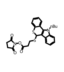 CCCCn1c2c(c3ccccc31)C(SCCC(=O)ON1C(=O)CCC1=O)Sc1ccccc1-2